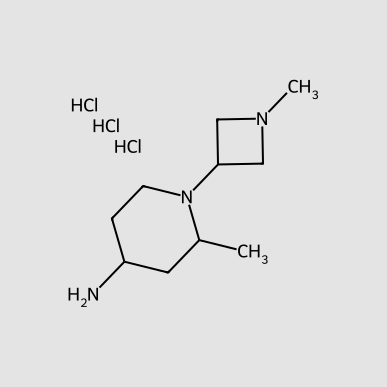 CC1CC(N)CCN1C1CN(C)C1.Cl.Cl.Cl